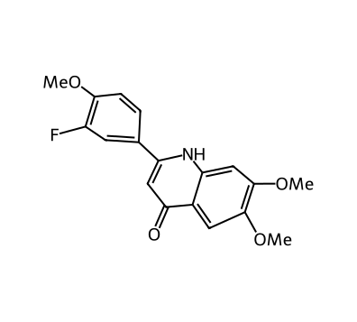 COc1ccc(-c2cc(=O)c3cc(OC)c(OC)cc3[nH]2)cc1F